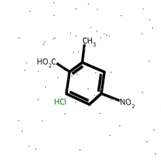 Cc1cc([N+](=O)[O-])ccc1C(=O)O.Cl